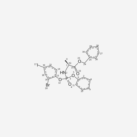 C[C@H](NP(=O)(Oc1ccccc1)Oc1ccc(I)cc1Br)C(=O)OCc1ccccc1